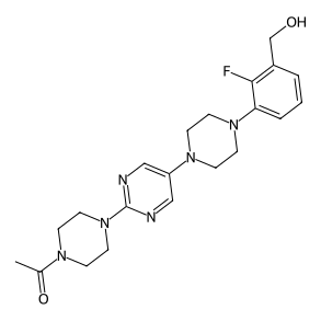 CC(=O)N1CCN(c2ncc(N3CCN(c4cccc(CO)c4F)CC3)cn2)CC1